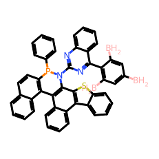 Bc1cc(B)c(-c2nc(N3c4c(c5ccccc5c5c4sc4ccccc45)-c4c(ccc5ccccc45)P3c3ccccc3)nc3ccccc23)c(B)c1